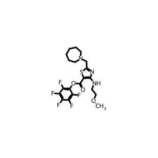 COCCNc1nc(CN2CCCCCC2)sc1C(=O)Oc1c(F)c(F)c(F)c(F)c1F